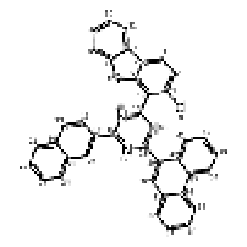 Clc1ccc2c(sc3ccccc32)c1-c1nc(-c2ccc3ccccc3c2)nc(-c2cc3ccccc3c3ccccc23)n1